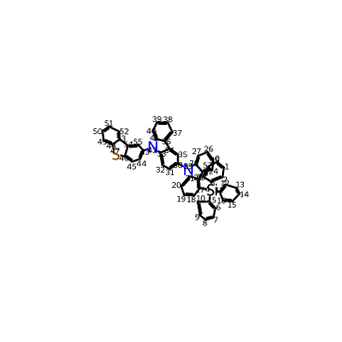 c1ccc([Si](c2ccccc2)(c2ccccc2)c2cccc3c2c2ccccc2n3-c2ccc3c(c2)c2ccccc2n3-c2ccc3sc4ccccc4c3c2)cc1